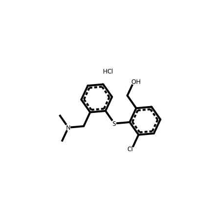 CN(C)Cc1ccccc1Sc1c(Cl)cccc1CO.Cl